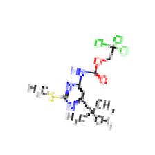 CSc1nc(NC(=O)OCC(Cl)(Cl)Cl)cc(C(C)(C)C)n1